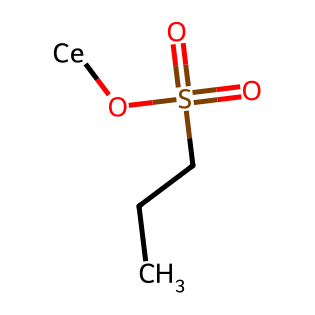 CCCS(=O)(=O)[O][Ce]